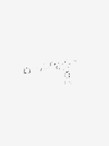 CCOC(=O)NC(Cc1ccc(CN)cc1)C(=O)c1noc(CN2CCN(C(=O)CCCc3ccccc3)CC2)n1